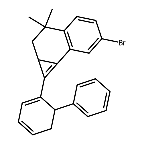 CC1(C)CC2C(C3=CC=CCC3c3ccccc3)=C2c2cc(Br)ccc21